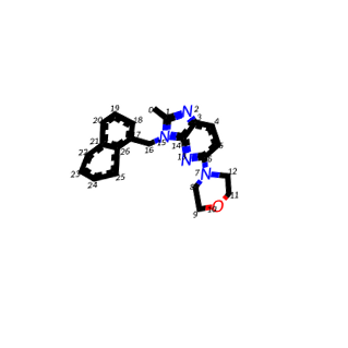 Cc1nc2ccc(N3CCOCC3)nc2n1Cc1cccc2ccccc12